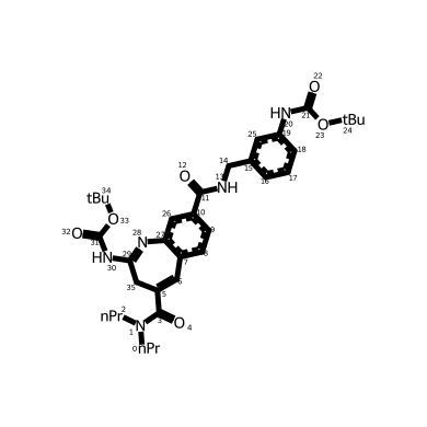 CCCN(CCC)C(=O)C1=Cc2ccc(C(=O)NCc3cccc(NC(=O)OC(C)(C)C)c3)cc2N=C(NC(=O)OC(C)(C)C)C1